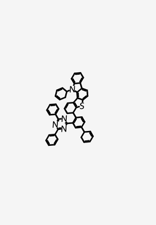 C1=CCC(c2ccc(C3CC=Cc4c3sc3ccc5c6ccccc6n(C6C=CC=CC6)c5c43)c(-c3nc(-c4ccccc4)nc(-c4ccccc4)n3)c2)C=C1